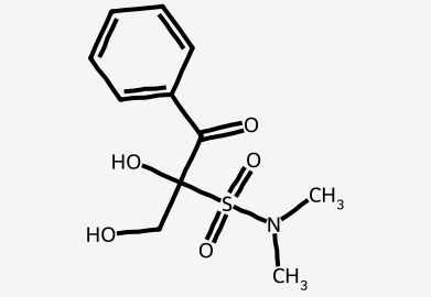 CN(C)S(=O)(=O)C(O)(CO)C(=O)c1ccccc1